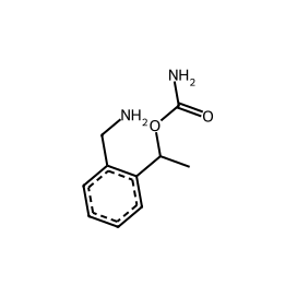 CC(OC(N)=O)c1ccccc1CN